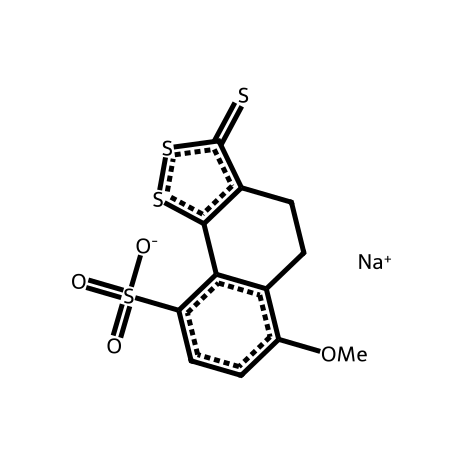 COc1ccc(S(=O)(=O)[O-])c2c1CCc1c-2ssc1=S.[Na+]